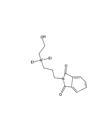 CC[N+](CC)(CCO)CCCN1C(=O)c2ccccc2C1=O